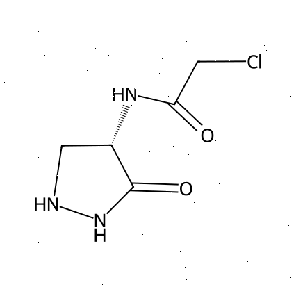 O=C(CCl)N[C@H]1CNNC1=O